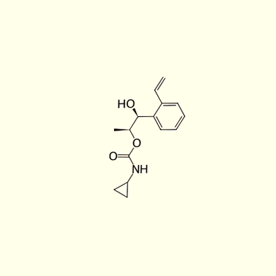 C=Cc1ccccc1[C@H](O)[C@H](C)OC(=O)NC1CC1